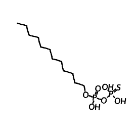 CCCCCCCCCCCCOP(=O)(O)OP(O)(O)=S